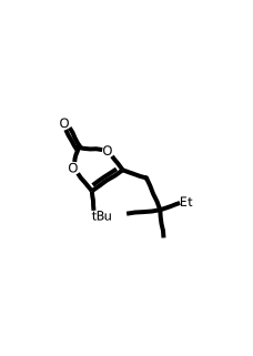 CCC(C)(C)Cc1oc(=O)oc1C(C)(C)C